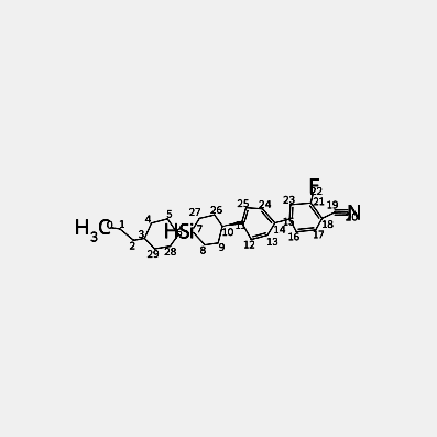 CCCC1CCC([Si@H]2CC[C@H](c3ccc(-c4ccc(C#N)c(F)c4)cc3)CC2)CC1